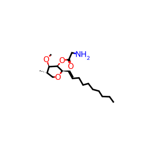 CCCCCCCCC=C[C@H]1OC[C@H](C)[C@@H](OC)[C@H]1OC(=O)CN